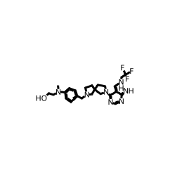 CN(CCO)c1ccc(CN2CCC3(CCN(C4=NC=NC(=N)/C4=C\NCC(F)(F)F)C3)C2)cc1